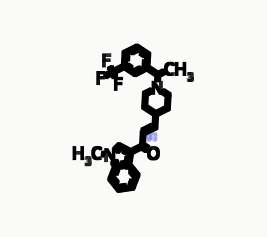 CC(c1cccc(C(F)(F)F)c1)N1CCC(/C=C/C(=O)c2cn(C)c3ccccc23)CC1